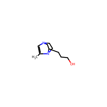 CC1=CN2CCN1C(CCCO)C2